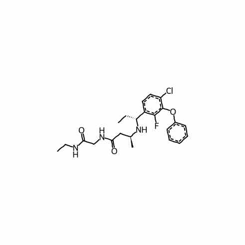 CCNC(=O)CNC(=O)C[C@H](C)N[C@H](CC)c1ccc(Cl)c(Oc2ccccc2)c1F